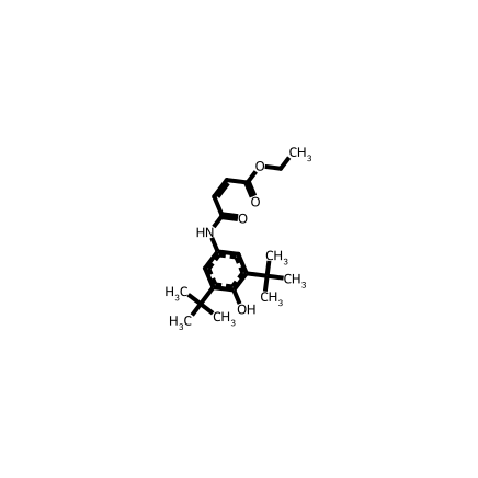 CCOC(=O)/C=C\C(=O)Nc1cc(C(C)(C)C)c(O)c(C(C)(C)C)c1